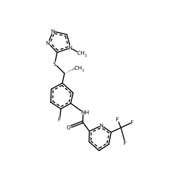 C[C@@H](Sc1nncn1C)c1ccc(F)c(NC(=O)c2cccc(C(F)(F)F)n2)c1